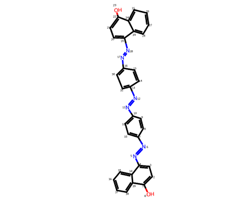 Oc1ccc(/N=N/c2ccc(/N=N/c3ccc(/N=N/c4ccc(O)c5ccccc45)cc3)cc2)c2ccccc12